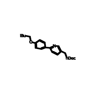 CCCCCCCCCCCc1ccc(-c2ccc(OCC(C)CC)cc2)nc1